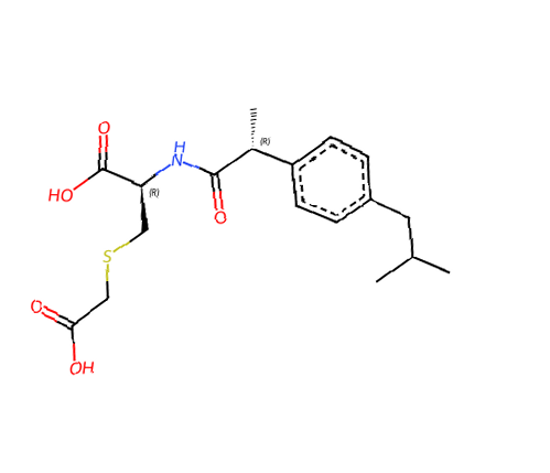 CC(C)Cc1ccc([C@@H](C)C(=O)N[C@@H](CSCC(=O)O)C(=O)O)cc1